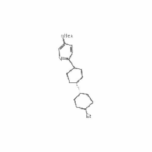 CCCCCCc1ccc(C2CCC([C@H]3CC[C@H](CC)CC3)CC2)nc1